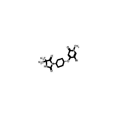 Cn1cc(Br)c(O[C@H]2CC[C@H](N3C(=O)NC(C)(C)C3=O)CC2)cc1=O